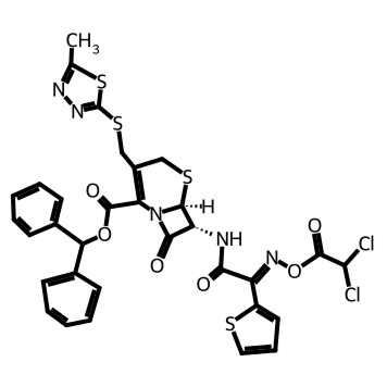 Cc1nnc(SCC2=C(C(=O)OC(c3ccccc3)c3ccccc3)N3C(=O)[C@@H](NC(=O)C(=NOC(=O)C(Cl)Cl)c4cccs4)[C@@H]3SC2)s1